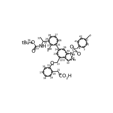 Cc1ccc(S(=O)(=O)n2ncc3c(COc4ccccc4CC(=O)O)cc(-c4cccc(C(C)NC(=O)OC(C)(C)C)c4F)cc32)cc1